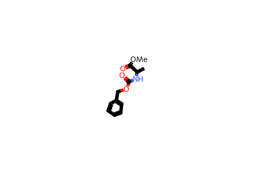 COC(=O)C(C)NC(=O)OCc1ccccc1